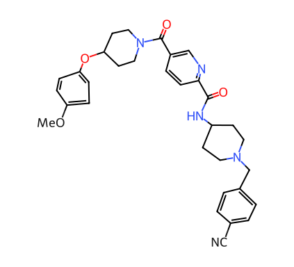 COc1ccc(OC2CCN(C(=O)c3ccc(C(=O)NC4CCN(Cc5ccc(C#N)cc5)CC4)nc3)CC2)cc1